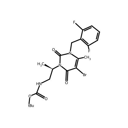 Cc1c(Br)c(=O)n([C@H](C)CNC(=O)OC(C)(C)C)c(=O)n1Cc1c(F)cccc1F